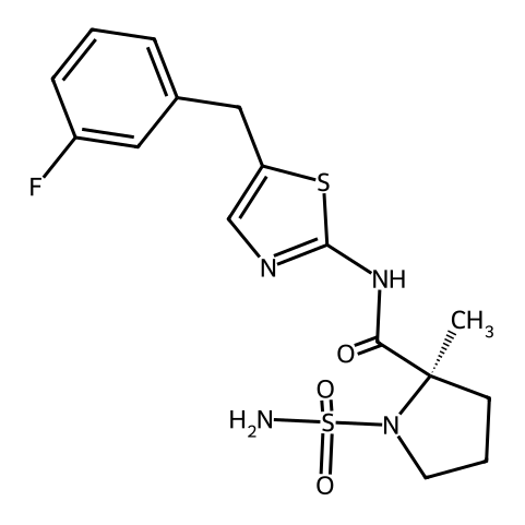 C[C@]1(C(=O)Nc2ncc(Cc3cccc(F)c3)s2)CCCN1S(N)(=O)=O